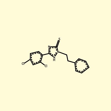 S=c1nc(-c2ccc(Cl)cc2Cl)[nH]n1CCc1ccccc1